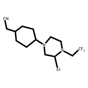 CCC1CN(C2CCC(CC#N)CC2)CCN1CC(F)(F)F